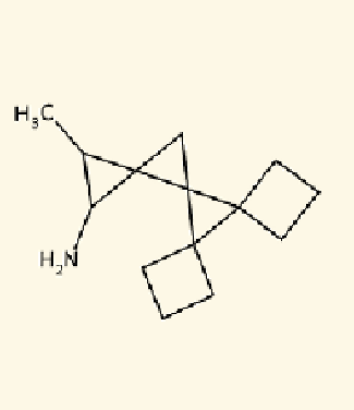 CC1C(N)C12CC21C2(CCC2)C12CCC2